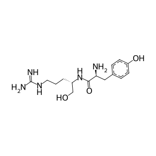 N=C(N)NCCC[C@@H](CO)NC(=O)[C@@H](N)Cc1ccc(O)cc1